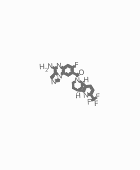 Nc1nc2cc(F)c(C(=O)N3CC[C@H]4C[C@@H]3c3ccc(C(F)(F)F)nc34)cc2n2cncc12